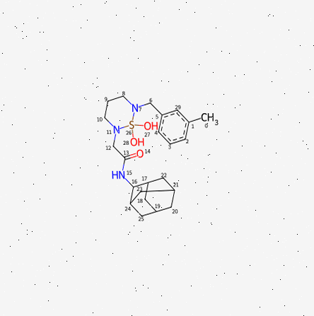 Cc1cccc(CN2CCCN(CC(=O)NC3C4CC5CC(C4)CC3C5)S2(O)O)c1